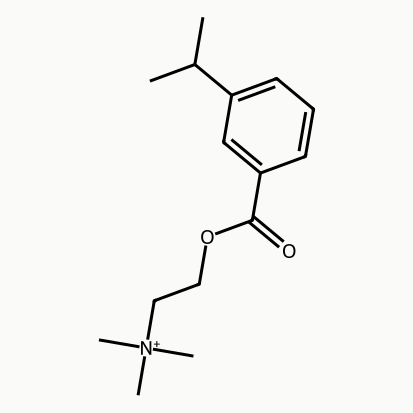 CC(C)c1cccc(C(=O)OCC[N+](C)(C)C)c1